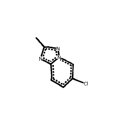 Cc1nc2ccc(Cl)cn2n1